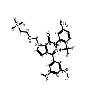 Bc1ccc(C(F)(F)F)c(-n2nc(-c3cc(OC)cc(OC)c3)c3ccn(COCC[Si](C)(C)C)c3c2=O)c1